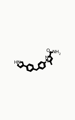 Cc1cc(C(N)=O)nn1-c1ccc(Cc2ccc(C3=CCNC3)cc2)cc1